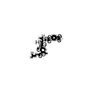 COC1C(OC(=O)N[C@@H](COC(=O)Oc2ccc([N+](=O)[O-])cc2)C(C)C)CC[C@]2(CO2)C1[C@@H]1O[C@@H]1CC=C(C)C